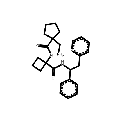 NCC1(C(=O)NC2(C(=O)NC(Cc3ccccn3)c3ccccc3)CCC2)CCCC1